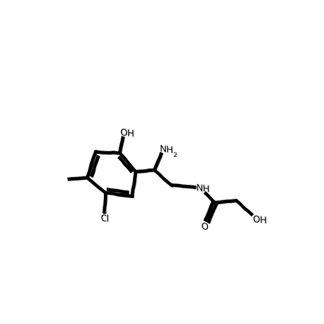 Cc1cc(O)c(C(N)CNC(=O)CO)cc1Cl